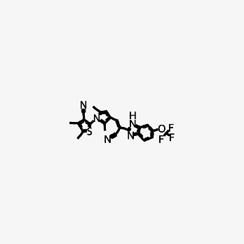 Cc1sc(-n2c(C)cc(C=C(C#N)c3nc4ccc(OC(F)(F)F)cc4[nH]3)c2C)c(C#N)c1C